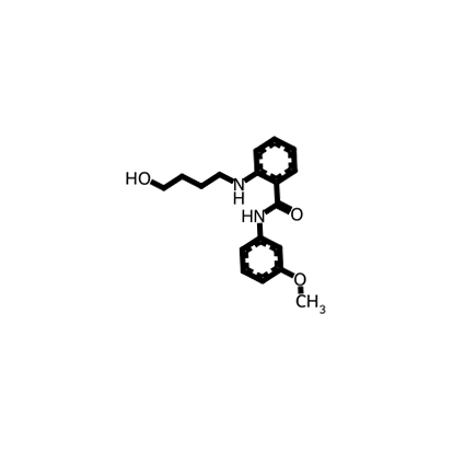 COc1cccc(NC(=O)c2ccccc2NCCCCO)c1